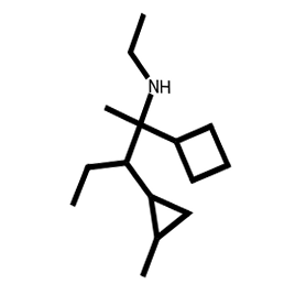 CCNC(C)(C1CCC1)C(CC)C1CC1C